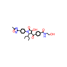 CCC(CC)C1C(C(=O)c2ccc(C(=O)NCCO)cc2)=C(O)C(=O)N1c1ccc(-c2noc(C)n2)cc1